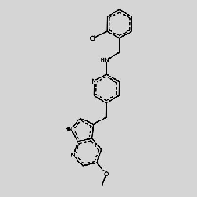 COc1cnc2[nH]cc(Cc3ccc(NCc4ccccc4Cl)nc3)c2c1